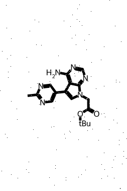 Cc1ncc(-c2cn(CC(=O)OC(C)(C)C)c3ncnc(N)c23)cn1